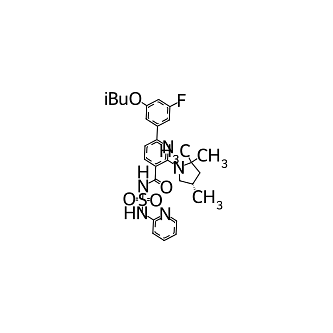 CC(C)COc1cc(F)cc(-c2ccc(C(=O)NS(=O)(=O)Nc3ccccn3)c(N3C[C@@H](C)CC3(C)C)n2)c1